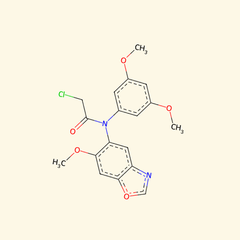 COc1cc(OC)cc(N(C(=O)CCl)c2cc3ncoc3cc2OC)c1